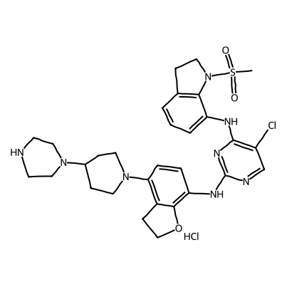 CS(=O)(=O)N1CCc2cccc(Nc3nc(Nc4ccc(N5CCC(N6CCNCC6)CC5)c5c4OCC5)ncc3Cl)c21.Cl